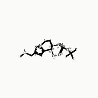 COCc1cc2n(n1)CC[C@@H](NC(=O)OC(C)(C)C)[C@H]2O